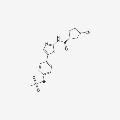 CS(=O)(=O)Nc1ccc(-c2cnc(NC(=O)[C@H]3CCN(C#N)C3)s2)cc1